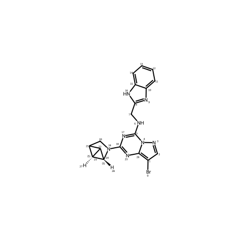 Brc1cnn2c(NCc3nc4ccccc4[nH]3)nc(N3CC4C5[C@H]4[C@H]53)nc12